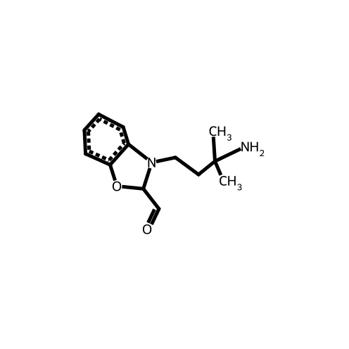 CC(C)(N)CCN1c2ccccc2OC1C=O